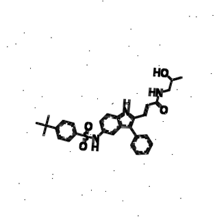 CC(O)CNC(=O)/C=C/c1[nH]c2ccc(NS(=O)(=O)c3ccc(C(C)(C)C)cc3)cc2c1-c1ccccc1